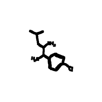 CC(C)CC(N)C(N)c1ccc(Cl)cc1